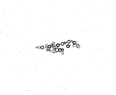 COc1cc(CN2CCN(C3CC4(CCN(c5ccc(C(=O)NS(=O)(=O)c6ccc(NC[C@H]7CC[C@](C)(O)CC7)c([N+](=O)[O-])c6)c(N6C[C@H]7COCCN7Cc7nc8[nH]ccc8cc76)c5)CC4)C3)[C@H](c3ccccc3C)C2)cnc1N1CCOCC1